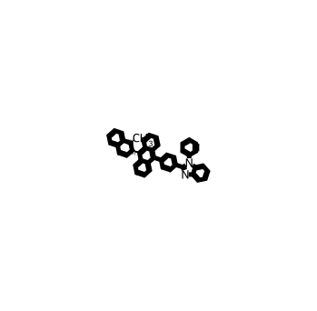 C[C@H]1c2ccccc2C=C[C@@H]1c1c2ccccc2c(-c2ccc(-c3nc4ccccc4n3-c3c#cccc3)cc2)c2ccccc12